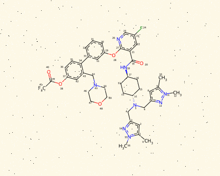 Cc1cc(CN(Cc2cc(C)n(C)n2)[C@H]2CC[C@H](NC(=O)c3cc(F)cnc3Oc3cccc(-c4ccc(OC(=O)C(F)(F)F)cc4CN4CCOCC4)c3)CC2)nn1C